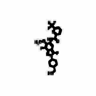 COc1c(NC(=O)c2cccc(C(F)(F)F)n2)cc2c(F)n([C@H]3CC[C@H](CO)CC3)nc2c1F